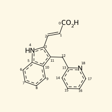 O=C(O)C=Cc1[nH]c2ccccc2c1Cc1ccccn1